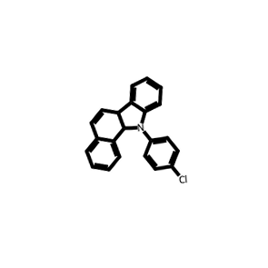 Clc1ccc(N2c3ccccc3C3C=Cc4ccccc4C32)cc1